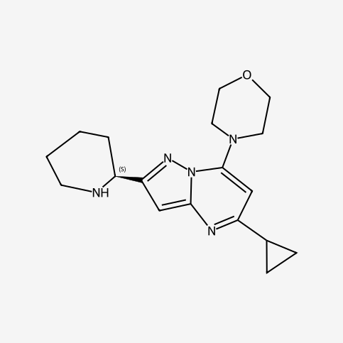 c1c(C2CC2)nc2cc([C@@H]3CCCCN3)nn2c1N1CCOCC1